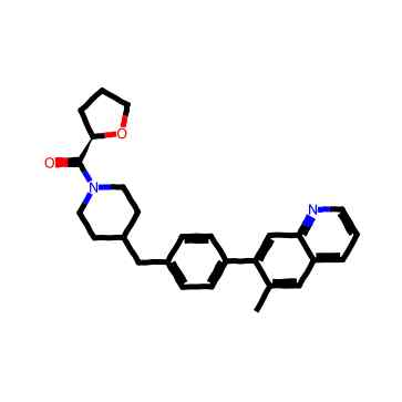 Cc1cc2cccnc2cc1-c1ccc(CC2CCN(C(=O)[C@H]3CCCO3)CC2)cc1